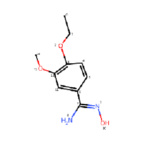 CCOc1ccc(/C(N)=N/O)cc1OC